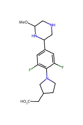 COC1CNCC(c2cc(F)c(N3CCC(CC(=O)O)C3)c(F)c2)N1